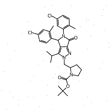 Cc1cc(Cl)ccc1C1c2c(nn(CC3CCCN3C(=O)OC(C)(C)C)c2C(C)C)C(=O)N1c1cc(Cl)ccc1C